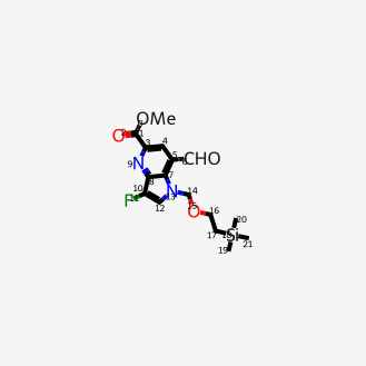 COC(=O)c1cc(C=O)c2c(n1)c(F)cn2COCC[Si](C)(C)C